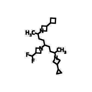 CC(CCC(CCC(C)N1CC(C2CC2)C1)N1CC(C(F)F)C1)N1CC(C2CCC2)C1